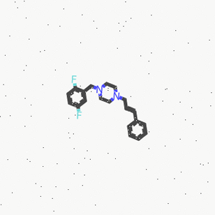 Fc1ccc(F)c(CN2CCN(C/C=C/c3ccccc3)CC2)c1